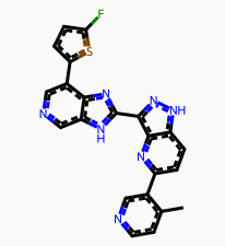 Cc1ccncc1-c1ccc2[nH]nc(-c3nc4c(-c5ccc(F)s5)cncc4[nH]3)c2n1